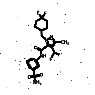 Cc1nn(CC2CCC(F)(F)CC2)c(C(=O)Nc2cccc(S(N)(=O)=O)c2)c1C(F)F